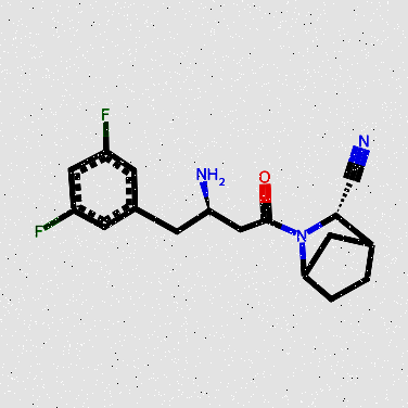 N#C[C@@H]1C2CCC(C2)N1C(=O)C[C@H](N)Cc1cc(F)cc(F)c1